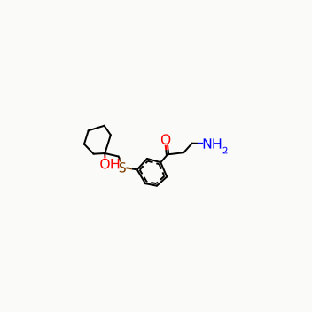 NCCC(=O)c1cccc(SCC2(O)CCCCC2)c1